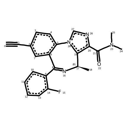 C#Cc1ccc2c(c1)C(c1ccccc1F)=N[C@H](C)c1c(C(=O)N(C)C)ncn1-2